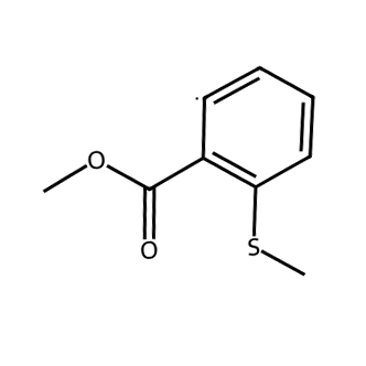 COC(=O)c1[c]cccc1SC